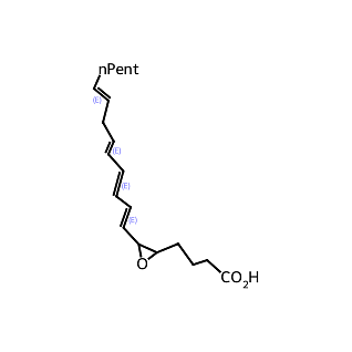 CCCCC/C=C/C/C=C/C=C/C=C/C1OC1CCCC(=O)O